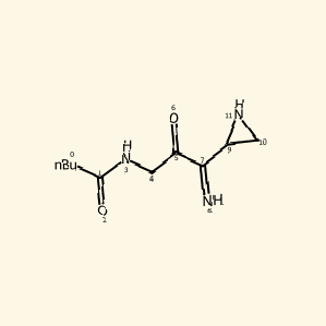 CCCCC(=O)NCC(=O)C(=N)C1CN1